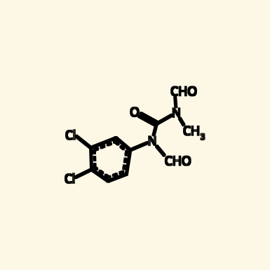 CN(C=O)C(=O)N(C=O)c1ccc(Cl)c(Cl)c1